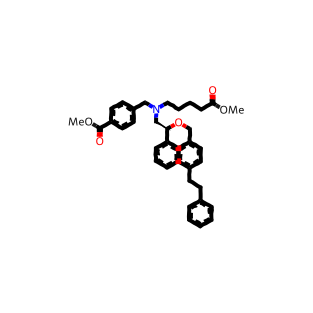 COC(=O)CCCCN(Cc1ccc(C(=O)OC)cc1)C[C@@H](OCc1ccc(CCc2ccccc2)cc1)c1ccccc1